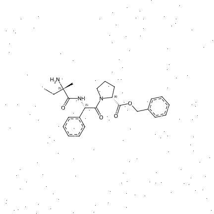 CC[C@](C)(N)C(=O)N[C@H](C(=O)N1CCC[C@@H]1C(=O)OCc1ccccc1)c1ccccc1